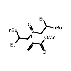 C=CC(=O)OC.CCCCC(CC)C[PH](=O)CC(CC)CCCC